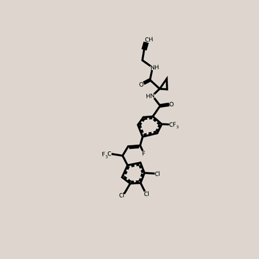 C#CCNC(=O)C1(NC(=O)c2ccc(/C(F)=C/C(c3cc(Cl)c(Cl)c(Cl)c3)C(F)(F)F)cc2C(F)(F)F)CC1